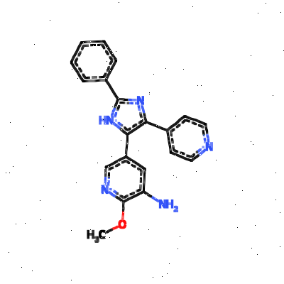 COc1ncc(-c2[nH]c(-c3ccccc3)nc2-c2ccncc2)cc1N